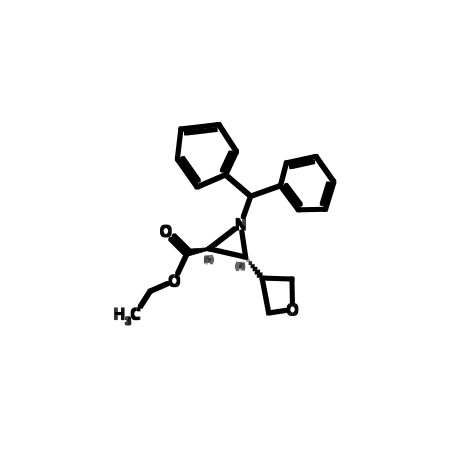 CCOC(=O)[C@@H]1[C@@H](C2COC2)N1C(c1ccccc1)c1ccccc1